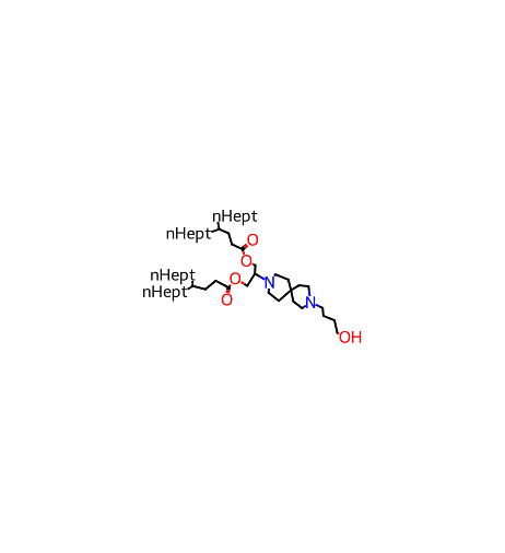 CCCCCCCC(CCCCCCC)CCC(=O)OCC(COC(=O)CCC(CCCCCCC)CCCCCCC)N1CCC2(CCN(CCCCO)CC2)CC1